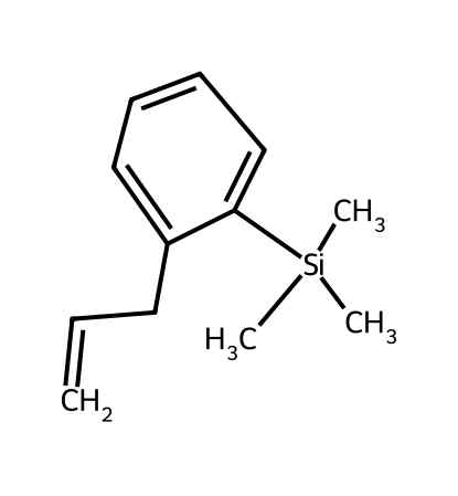 C=CCc1ccccc1[Si](C)(C)C